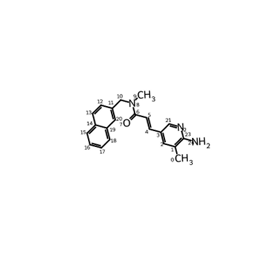 Cc1cc(C=CC(=O)N(C)Cc2ccc3ccccc3c2)cnc1N